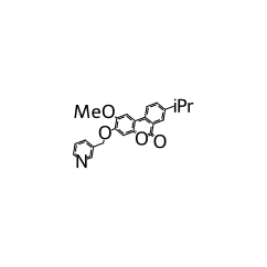 COc1cc2c(cc1OCc1cccnc1)oc(=O)c1cc(C(C)C)ccc12